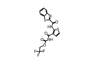 O=C(NC(=O)c1ccsc1NC(=O)c1nc2ccccc2s1)OCC(F)(F)F